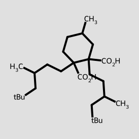 CC(CCC1(C(=O)O)CCC(C)CC1(CCC(C)CC(C)(C)C)C(=O)O)CC(C)(C)C